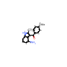 CCOC(=O)c1[nH]c2cccc(N)c2c1C(=O)c1ccc(OC)cc1